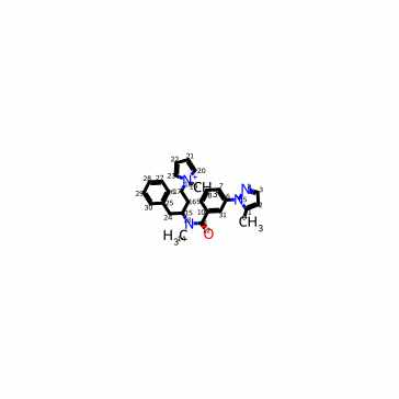 Cc1ccnn1-c1cccc(C(=O)N(C)C(CC[N+]2(C)C=CC=C2)Cc2ccccc2)c1